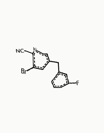 N#Cc1ncc(Cc2cccc(F)c2)cc1Br